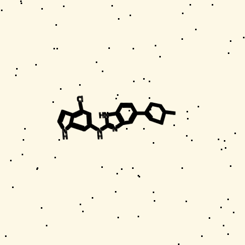 CC1CC=C(c2ccc3[nH]c(Nc4cc(Cl)c5cc[nH]c5c4)nc3c2)CC1